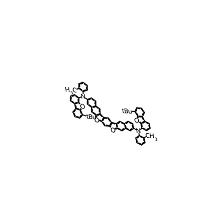 Cc1ccccc1N(c1ccc2cc3c(cc2c1)oc1cc2oc4cc5cc(N(c6ccccc6C)c6cccc7c6oc6c(C(C)(C)C)cccc67)ccc5cc4c2cc13)c1cccc2c1oc1c(C(C)(C)C)cccc12